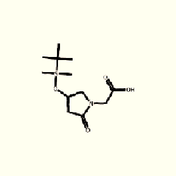 CC(C)(C)[Si](C)(C)OC1CC(=O)N(CC(=O)O)C1